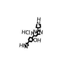 Cl.Oc1cc(-c2cn[nH]c2)ccc1-c1cc2cnn(C3CCNCC3)c2nn1